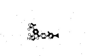 Cc1cc(C2CC2)cnc1N1CCN(C(=O)c2ccc(N3C(=O)OCC3C)cc2N2CCNC2=O)CC1